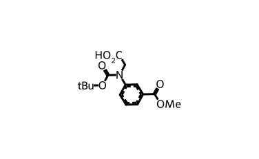 COC(=O)c1cccc(N(CC(=O)O)C(=O)OC(C)(C)C)c1